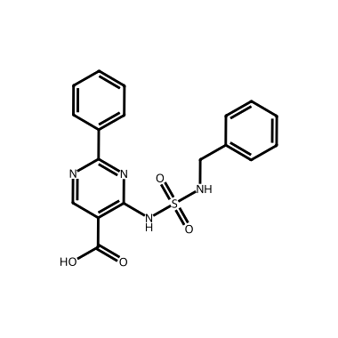 O=C(O)c1cnc(-c2ccccc2)nc1NS(=O)(=O)NCc1ccccc1